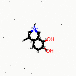 Cc1c[n+](C)cc2c(O)c(O)ccc12